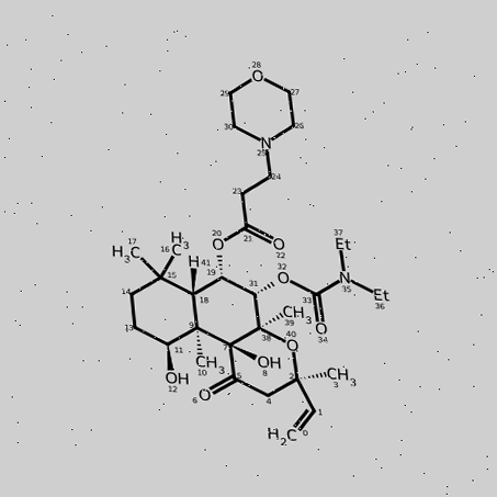 C=C[C@@]1(C)CC(=O)[C@]2(O)[C@@]3(C)[C@@H](O)CCC(C)(C)[C@@H]3[C@H](OC(=O)CCN3CCOCC3)[C@H](OC(=O)N(CC)CC)[C@@]2(C)O1